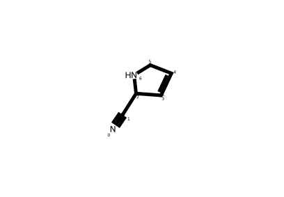 N#CC1[C]=CCN1